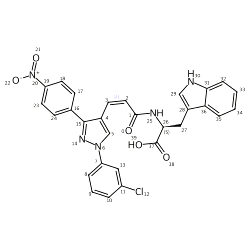 O=C(/C=C\c1cn(-c2cccc(Cl)c2)nc1-c1ccc([N+](=O)[O-])cc1)N[C@@H](Cc1c[nH]c2ccccc12)C(=O)O